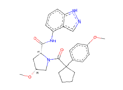 COc1ccc(C2(C(=O)N3C[C@H](OC)C[C@@H]3C(=O)Nc3cccc4[nH]ncc34)CCCC2)cc1